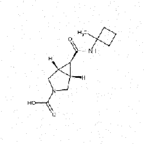 CC1(NC(=O)[C@H]2[C@@H]3CN(C(=O)O)C[C@@H]32)CCC1